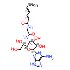 CCCCCCCCC/C=C/C=C/C(=O)NCC(=O)N[C@@H]1[C@@H](O)[C@@H](O)[C@@H](c2nc(N)c3nc[nH]c3n2)O[C@H]1[C@@H](O)CO